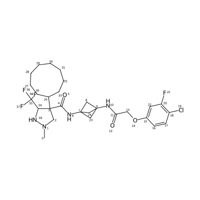 CN1CC(C(=O)NC23CC(NC(=O)COc4ccc(Cl)c(F)c4)(C2)C3)(C2CCCCCCCC2)C(C(F)(F)F)N1